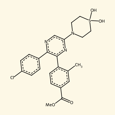 COC(=O)c1ccc(-c2nc(N3CCS(O)(O)CC3)cnc2-c2ccc(Cl)cc2)c(C)c1